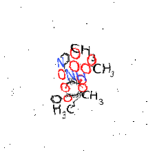 CCCC[C@H]1[C@H](C)OC(=O)[C@@H](NC(=O)c2nccc(OC)c2OCOC(C)=O)COC[C@@H]1Oc1ccccc1